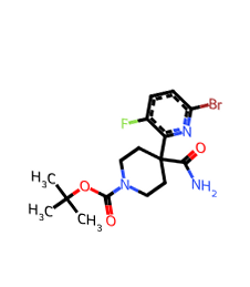 CC(C)(C)OC(=O)N1CCC(C(N)=O)(c2nc(Br)ccc2F)CC1